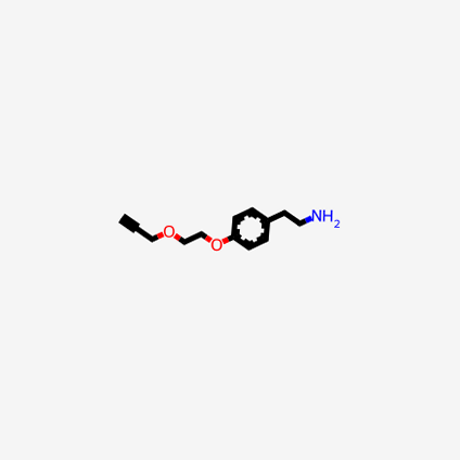 C#CCOCCOc1ccc(CCN)cc1